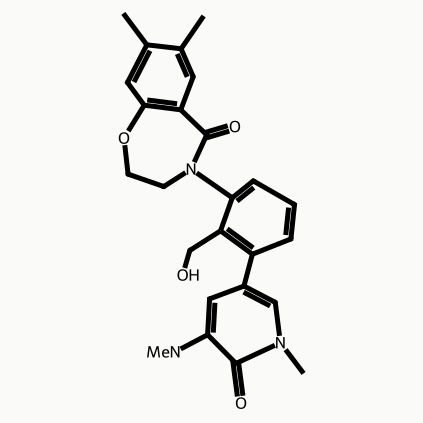 CNc1cc(-c2cccc(N3CCOc4cc(C)c(C)cc4C3=O)c2CO)cn(C)c1=O